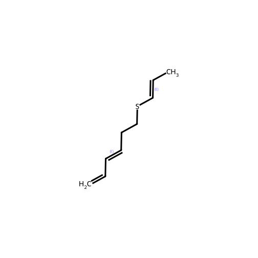 C=C/C=C/CCS/C=C/C